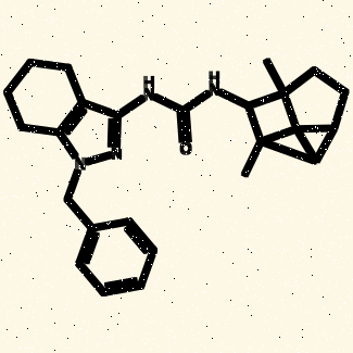 CC12CCC3C4C(C)(C1NC(=O)Nc1nn(Cc5ccccc5)c5c1CCCC5)C342